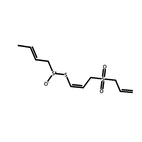 C=CCS(=O)(=O)C/C=C\S[S+]([O-])C/C=C/C